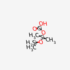 C[SiH2]O[Si](C)(C)O[Si](=O)O